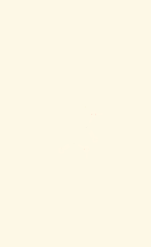 CCCC(CSC(C)(C)C)(C(=O)OCC)C(=O)OCC